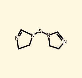 C1=NCCN1SN1C=NCC1